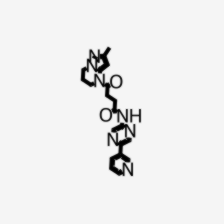 Cc1cc2n(n1)CCCN2C(=O)CCC(=O)Nc1cnc(-c2cccnc2)cn1